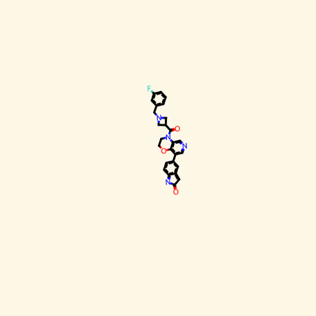 O=C1C=c2cc(-c3cncc4c3OCCN4C(=O)C3CN(Cc4cccc(F)c4)C3)ccc2=N1